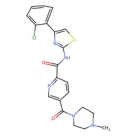 CN1CCN(C(=O)c2ccc(C(=O)Nc3nc(-c4ccccc4Cl)cs3)nc2)CC1